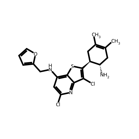 CC1=C(C)C[C@H](N)[C@@H](c2sc3c(NCc4ccco4)cc(Cl)nc3c2Cl)C1